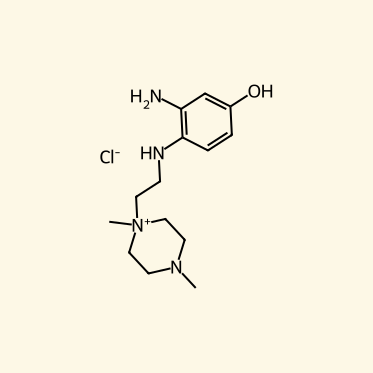 CN1CC[N+](C)(CCNc2ccc(O)cc2N)CC1.[Cl-]